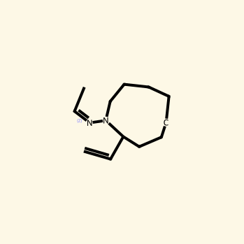 C=CC1CCCCCCCN1/N=C\C